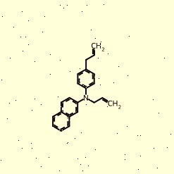 C=CCc1ccc(N(CC=C)c2ccc3ccccc3c2)cc1